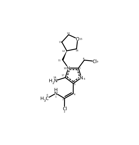 CN/C(Cl)=C\c1nc(CCl)n(C[C@H]2CCOC2)c1N